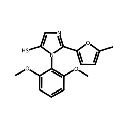 COc1cccc(OC)c1-n1c(S)cnc1-c1ccc(C)o1